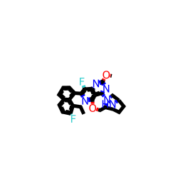 CCc1c(F)ccc2cccc(-c3nc4c5c(nc(OC)nc5c3F)N3CC5CCC(N5)C3CO4)c12